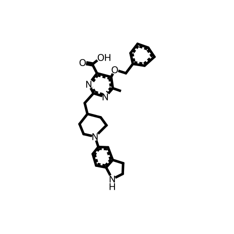 Cc1nc(CC2CCN(c3ccc4c(c3)CCN4)CC2)nc(C(=O)O)c1OCc1ccccc1